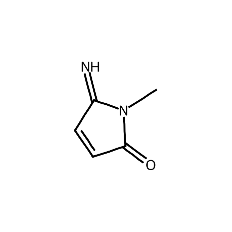 CN1C(=N)C=CC1=O